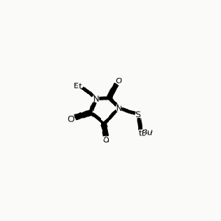 CCN1C(=O)C(=O)N(SC(C)(C)C)C1=O